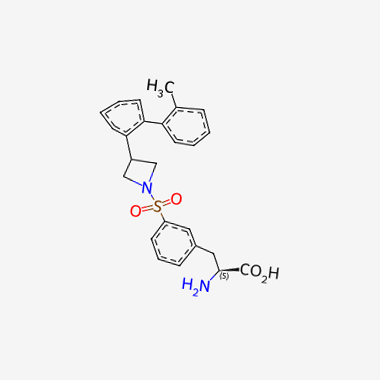 Cc1ccccc1-c1ccccc1C1CN(S(=O)(=O)c2cccc(C[C@H](N)C(=O)O)c2)C1